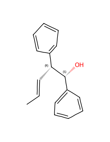 CC=C[C@H](c1ccccc1)[C@H](O)c1ccccc1